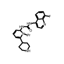 CC(C)N1C(C2CCNCC2)=CC=CC1NC(=O)Nc1ccnc2c(F)cccc12